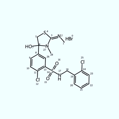 Br.CN=C1SCC(O)(c2ccc(Cl)c(S(=O)(=O)NCc3ccccc3Cl)c2)N1C